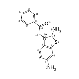 Nc1ccc2c(c1)SC(N)N2CC(=O)c1ccccc1